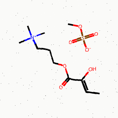 CC=C(O)C(=O)OCCC[N+](C)(C)C.COS(=O)(=O)[O-]